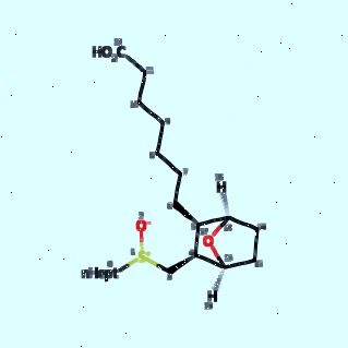 CCCCCCC[S+]([O-])C[C@H]1[C@@H](CCCCCCC(=O)O)[C@H]2CC[C@@H]1O2